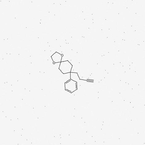 C#CCCC1(c2ccccc2)CCC2(CC1)OCCO2